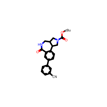 CC(C)(C)OC(=O)N1CC2CNC(=O)c3cc(-c4cccc(C#N)c4)ccc3C2C1